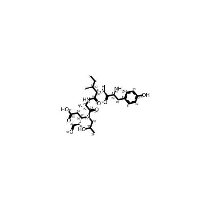 CC[C@H](C)[C@H](NC(=O)[C@@H](N)Cc1ccc(O)cc1)C(=O)N[C@@H](C)C(=O)N(CC(C)O)[C@H](CC=O)CC(=O)O